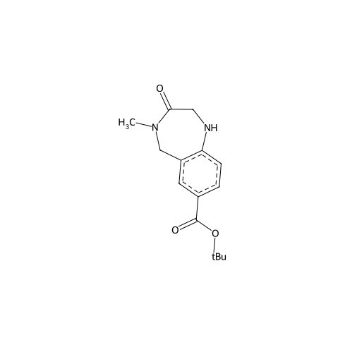 CN1Cc2cc(C(=O)OC(C)(C)C)ccc2NCC1=O